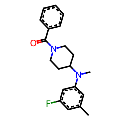 Cc1cc(F)cc(N(C)C2CCN(C(=O)c3ccccc3)CC2)c1